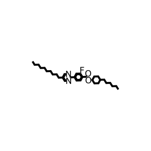 CCCCCCCCCCc1cnc(-c2ccc(C(=O)OC3CCC(CCCCCC)CC3)c(F)c2)nc1